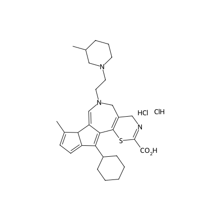 CC1=CC=C2C(C3CCCCC3)=C3C(=CN(CCN4CCCC(C)C4)CC4=C3SC(C(=O)O)=NC4)C12.Cl.Cl